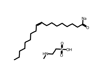 CCCCCCCC/C=C\CCCCCCC[C](=O)[Na].CNCCS(=O)(=O)O